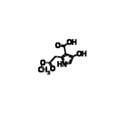 COC(=O)Cc1[nH]cc(O)c1C(=O)O